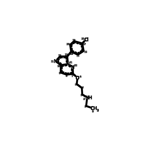 CCNCCCOc1ccc2ncc(-c3ccc(Cl)cc3)n2n1